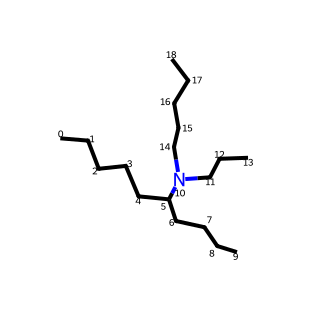 CCCCCC(CCCC)N(CCC)CCCCC